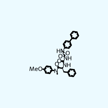 COc1ccc(N(C)C(=O)[C@H](Cc2ccccc2)NC(=O)NS(=O)(=O)Nc2ccc(-c3ccccc3)cc2)cc1